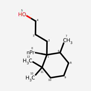 CCCC1(CCCO)C(C)CCCC1(C)C